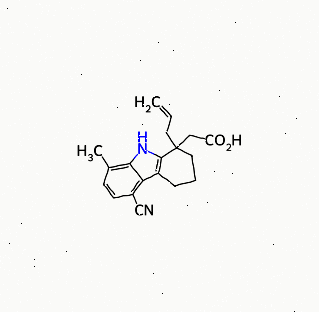 C=CCC1(CC(=O)O)CCCc2c1[nH]c1c(C)ccc(C#N)c21